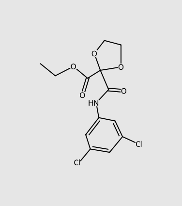 CCOC(=O)C1(C(=O)Nc2cc(Cl)cc(Cl)c2)OCCO1